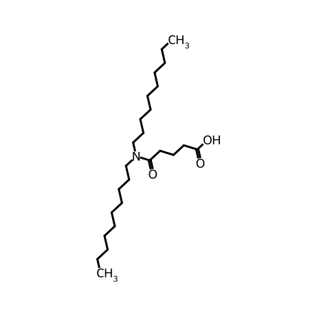 CCCCCCCCCCN(CCCCCCCCCC)C(=O)CCCC(=O)O